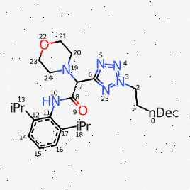 CCCCCCCCCCCCn1nnc(C(C(=O)Nc2c(C(C)C)cccc2C(C)C)N2CCOCC2)n1